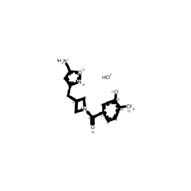 Cl.Nc1cc(CC2CN(C(=O)c3ccc(C(F)(F)F)c(Cl)c3)C2)no1